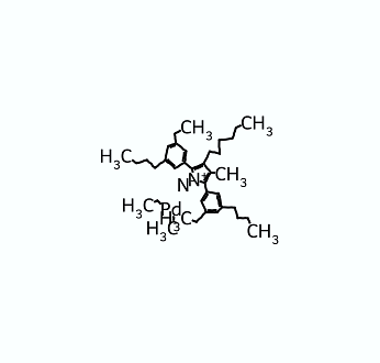 CCCCCCC1=C(c2cc(CC)cc(CCCC)c2)[N+](=[N-])C(c2cc(CC)cc(CCCC)c2)=C1C.C[CH2][Pd][CH2]C